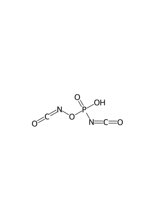 O=C=NOP(=O)(O)N=C=O